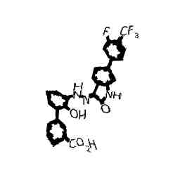 O=C1Nc2cc(-c3ccc(C(F)(F)F)c(F)c3)ccc2C1=NNc1cccc(-c2cccc(C(=O)O)c2)c1O